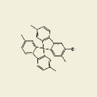 Cc1ccc2c(c1)C1(c3cc(C)ccc3-2)c2cc(C)ccc2-c2cc(Br)c(C)cc21